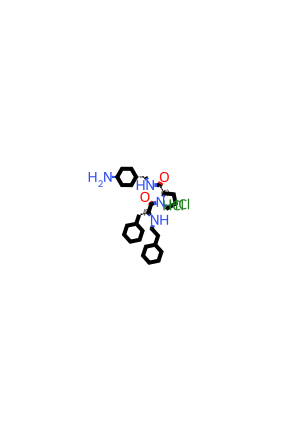 Cl.Cl.N[C@H]1CC[C@H](CNC(=O)[C@@H]2CCCN2C(=O)[C@@H](CC2CCCCC2)NCCC2CCCCC2)CC1